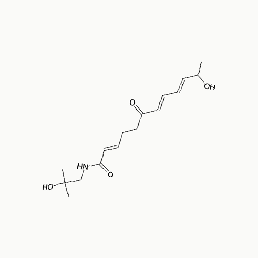 CC(O)C=CC=CC(=O)CCC=CC(=O)NCC(C)(C)O